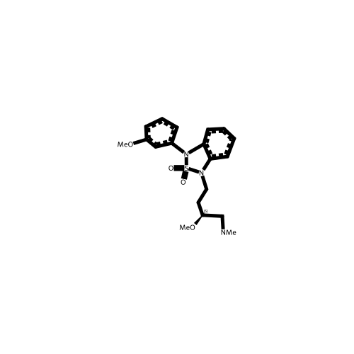 CNC[C@H](CCN1c2ccccc2N(c2cccc(OC)c2)S1(=O)=O)OC